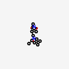 c1ccc(-c2ccc(N(c3ccc(-c4cccc5c4-c4ccccc4C54c5ccccc5-n5c6ccccc6c6cccc4c65)cc3)c3cccc4c3-c3ccccc3C43c4ccccc4-c4ccccc43)cc2)cc1